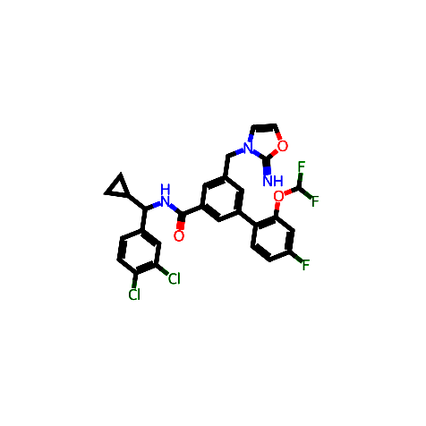 N=c1occn1Cc1cc(C(=O)NC(c2ccc(Cl)c(Cl)c2)C2CC2)cc(-c2ccc(F)cc2OC(F)F)c1